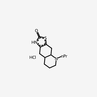 CCCN1CCCC2Cc3[nH]c(=O)sc3CC21.Cl